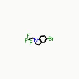 FC(F)(F)CN1CCc2cc(Br)ccc21